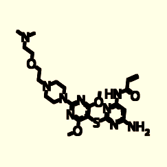 C=CC(=O)Nc1cc(N)nc(Sc2c(OC)nc(N3CCN(CCOCCN(C)C)CC3)nc2OC)n1